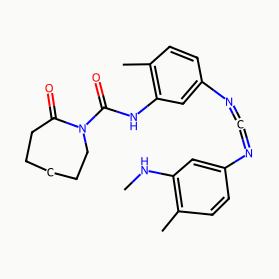 CNc1cc(N=C=Nc2ccc(C)c(NC(=O)N3CCCCCC3=O)c2)ccc1C